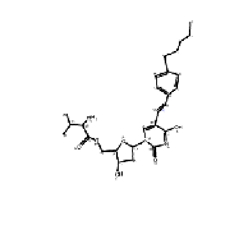 CCCCCc1ccc(/C=C/c2cn(C3CC(O)C(COC(=O)C(N)C(C)C)O3)c(=O)nc2O)cc1